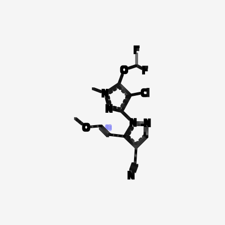 CO/C=C/c1c(C#N)cnn1-c1nn(C)c(OC(F)F)c1Cl